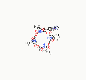 CC(C)CC1NC(=O)COC(=O)C(CC(C)C)NC(=O)COC(=O)C(CC(C)C)NC(=O)C(Cc2ccc(N3CC4CC(C3)N4C)cc2)OC(=O)C(CC(C)C)NC(=O)COC1=O